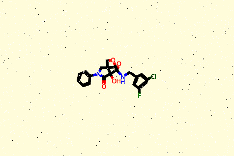 O=C(NCc1cc(F)cc(Cl)c1)C1(O)C(=O)N(c2ccccc2)CC12COC2